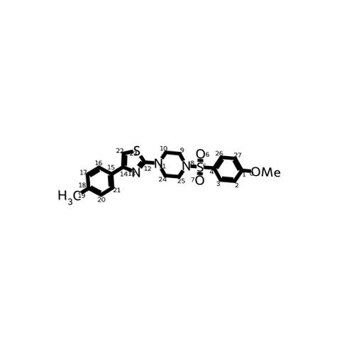 COc1ccc(S(=O)(=O)N2CCN(c3nc(-c4ccc(C)cc4)cs3)CC2)cc1